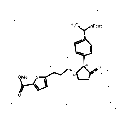 CCCCCC(C)c1ccc([C@H]2C(=O)CC[C@@H]2CCCc2ccc(C(=O)OC)s2)cc1